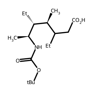 CCC(CC(=O)O)[C@H](C)[C@@H](CC)[C@H](C)NC(=O)OC(C)(C)C